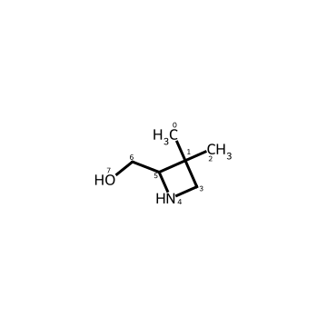 CC1(C)CNC1CO